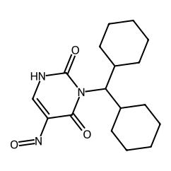 O=Nc1c[nH]c(=O)n(C(C2CCCCC2)C2CCCCC2)c1=O